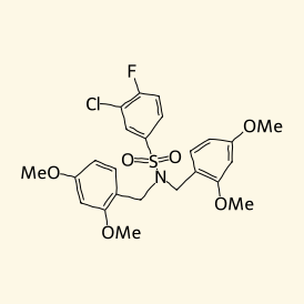 COc1ccc(CN(Cc2ccc(OC)cc2OC)S(=O)(=O)c2ccc(F)c(Cl)c2)c(OC)c1